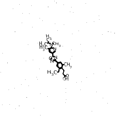 CCc1cc(-c2noc(-c3cnc(N(C)C(C)C)c(C)c3)n2)cc(C)c1CCC(=O)O